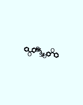 C[Si](C)(CC[Si](C)(C)Oc1ccc(C(=O)c2ccccc2)cc1)Oc1ccc(C(=O)c2ccccc2)cc1